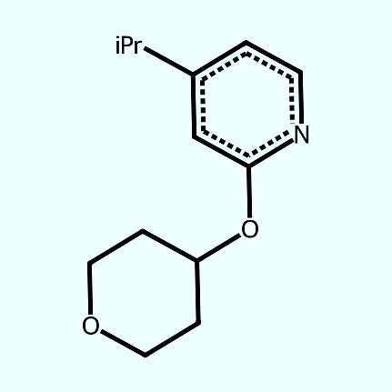 CC(C)c1ccnc(OC2CCOCC2)c1